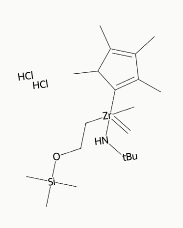 Cl.Cl.[CH2]=[Zr]([CH3])([CH2]CO[Si](C)(C)C)([NH]C(C)(C)C)[C]1=C(C)C(C)=C(C)C1C